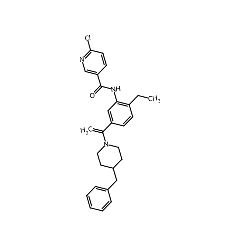 C=C(c1ccc(CC)c(NC(=O)c2ccc(Cl)nc2)c1)N1CCC(Cc2ccccc2)CC1